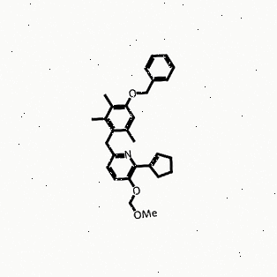 COCOc1ccc(Cc2c(C)cc(OCc3ccccc3)c(C)c2C)nc1C1=CCCC1